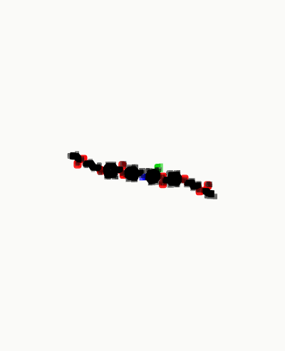 C=CC(=O)OCCCCOc1ccc(C(=O)Oc2ccc(/C=N/c3ccc(OC(=O)c4ccc(OCCCCOC(=O)C=C)cc4)c(Cl)c3)cc2)cc1